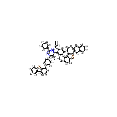 Cc1c(-c2ccc(-c3cccc4c3sc3ccccc34)cc2)nc(-c2ccccc2)nc1C1C=CC(C2=CCC3=C(Cc4ccccc4C3)c3sc4ccccc4c32)=CC1C